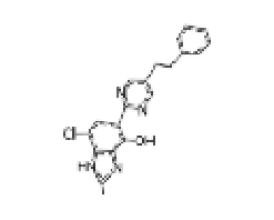 Cc1nc2c(O)c(-c3ncc(CCc4ccccc4)cn3)cc(Cl)c2[nH]1